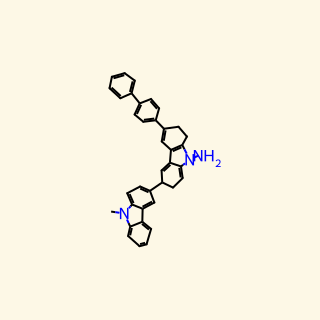 Cn1c2ccccc2c2cc(C3C=c4c5c(n(N)c4=CC3)CCC(c3ccc(-c4ccccc4)cc3)=C5)ccc21